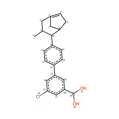 CC1CC2=CCC(C2)C1c1ccc(-c2cc(Cl)cc(B(O)O)c2)cc1